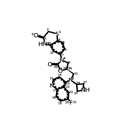 O=C1CSc2ccc(N3C[C@@H](CN(c4ccnc5ccc(F)cc45)C4CNC4)OC3=O)cc2N1